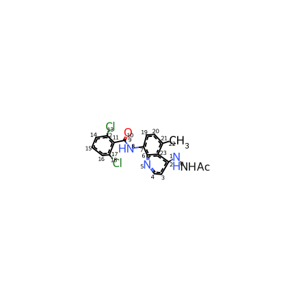 CC(=O)NNc1ccnc2c(NC(=O)c3c(Cl)cccc3Cl)ccc(C)c12